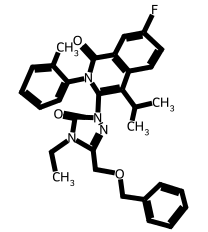 CCn1c(COCc2ccccc2)nn(-c2c(C(C)C)c3ccc(F)cc3c(=O)n2-c2ccccc2C)c1=O